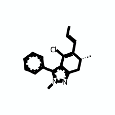 CC=CC1=C(Cl)c2c(nn(C)c2-c2ccccc2)C[C@H]1C